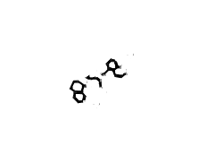 COc1ccc2c(c1)[C@H](NC(=O)c1nc(-c3ccc(OC)c4nc(C(F)(F)F)ccc34)oc1CN)CCC2